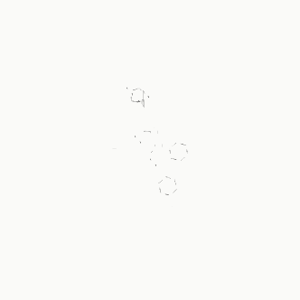 CC(C)c1ccc(C(NC(=O)C2CC(F)CN2C(=O)CCn2cncn2)c2ccccc2)cc1